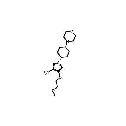 COCCOc1nn([C@H]2CC[C@H](N3CCOCC3)CC2)cc1N